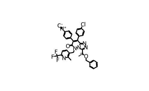 [C-]#[N+]c1ccc(-c2c(-c3ccc(Cl)cc3)c3nnc([C@H](C)OCc4ccccc4)n3n(Cc3ccc(C(F)(F)F)nc3C)c2=O)cc1